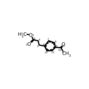 COC(=O)CCc1ccc(C(C)=O)cc1